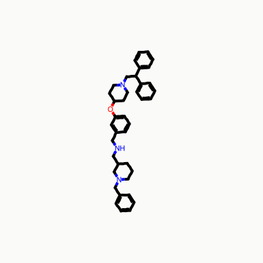 c1ccc(CN2CCCC(CNCc3cccc(OC4CCN(CC(c5ccccc5)c5ccccc5)CC4)c3)C2)cc1